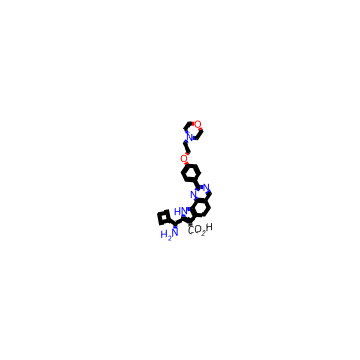 NC(c1[nH]c2c(c1C(=O)O)CCc1cnc(-c3ccc(OCCN4CCOCC4)cc3)nc1-2)C1CCC1